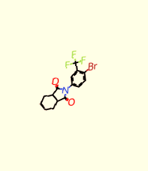 O=C1C2CCCCC2C(=O)N1c1ccc(Br)c(C(F)(F)F)c1